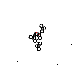 c1ccc(-n2c3ccccc3c3ccc(-c4cccc5c4oc4ccccc45)c(-c4cccc5c4c4ccccc4n5-c4ccc5oc6ccccc6c5c4)c32)cc1